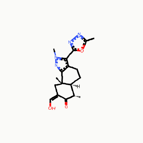 Cc1nnc(-c2c3c(nn2C)[C@@]2(C)C/C(=C/O)C(=O)[C@@H](C)[C@@H]2CC3)o1